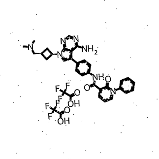 CN(C)C[C@H]1C[C@@H](n2cc(-c3ccc(NC(=O)c4cccn(-c5ccccc5)c4=O)cc3)c3c(N)ncnc32)C1.O=C(O)C(F)(F)F.O=C(O)C(F)(F)F